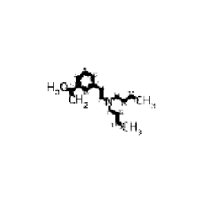 C=C(C)c1cccc(CCN(CCCC)CCCC)c1